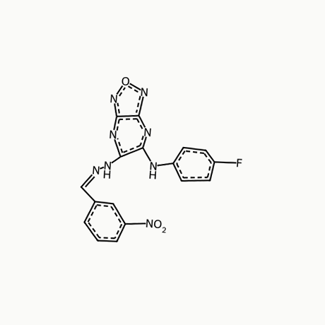 O=[N+]([O-])c1cccc(/C=N\Nc2nc3nonc3nc2Nc2ccc(F)cc2)c1